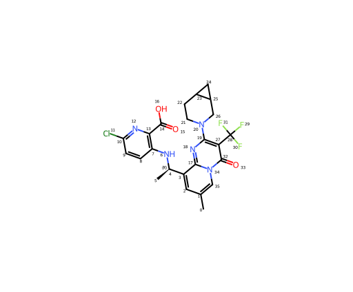 Cc1cc([C@@H](C)Nc2ccc(Cl)nc2C(=O)O)c2nc(N3CCC4CC4C3)c(C(F)(F)F)c(=O)n2c1